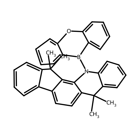 CC1(C)c2ccccc2N(B2c3ccccc3Oc3ccccc32)c2c1ccc1c2C(C)(C)c2ccccc2-1